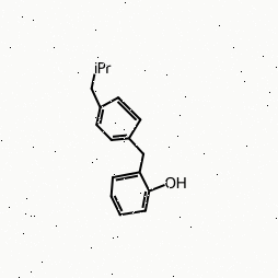 CC(C)Cc1ccc(Cc2ccccc2O)cc1